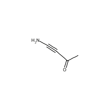 CC(=O)C#CN